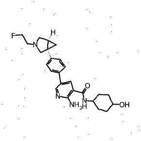 Nc1ncc(-c2ccc([C@@]34C[C@@H]3CN(CCF)C4)cc2)cc1C(=O)NC1CCC(O)CC1